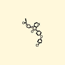 C=CC(=O)N1CC[C@@H](n2c(=O)n(-c3ccc(Oc4ccc(Cl)cc4)cc3)c3cnccc32)C1